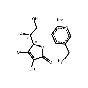 CCc1cccnc1.O=C1O[C@H]([C@@H](O)CO)C([O-])=C1O.[Na+]